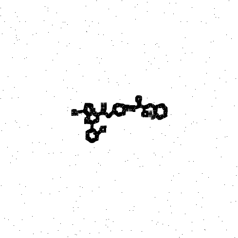 C/C(=C\c1ccccc1)C(=O)NCc1ccc(CNc2cc(-c3ccccc3Cl)nc3c(Br)ccn23)cc1